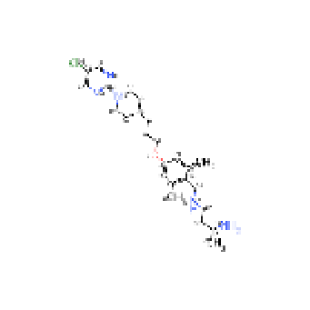 Cc1cc(OCCCC2CCN(c3ncc(Cl)cn3)CC2)cc(C)c1CNCC[C@@H](C)N